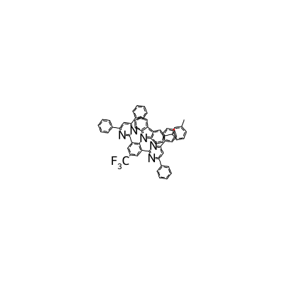 Cc1cccc(-c2ccc3c(c2)c2ccccc2n3-c2c(-c3nc(-c4ccccc4)cc(-c4ccccc4)n3)cc(C(F)(F)F)cc2-c2nc(-c3ccccc3)cc(-c3ccccc3)n2)c1